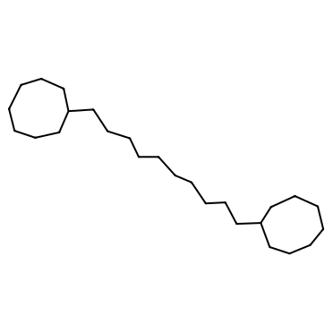 C(CCCCCC1CCCCCCC1)CCCCC1CCCCCCC1